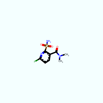 CN(C)C(=O)c1ccc(F)nc1S(N)(=O)=O